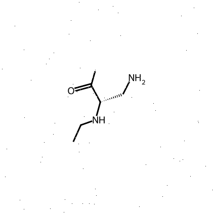 CCN[C@@H](CN)C(C)=O